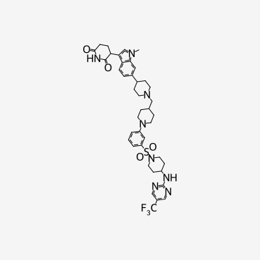 Cn1cc(C2CCC(=O)NC2=O)c2ccc(C3CCN(CC4CCN(c5cccc(S(=O)(=O)N6CCC(Nc7ncc(C(F)(F)F)cn7)CC6)c5)CC4)CC3)cc21